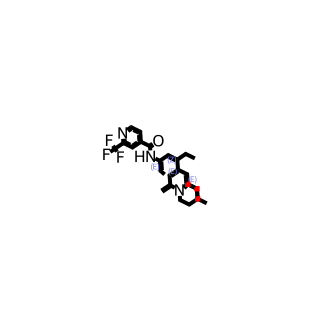 C=C(/C=C(\C=C(/C)CCC)C(=C\C(=C/C)NC(=O)c1ccnc(C(F)(F)F)c1)/CC)N1CCCCC1